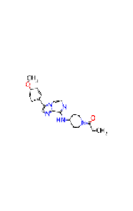 C=CC(=O)N1CCC(Nc2nccn3c(-c4ccc(OC)cc4)cnc23)CC1